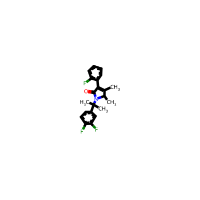 CC1=C(c2ccccc2F)C(=O)N(C(C)(C)c2ccc(F)c(F)c2)C1C